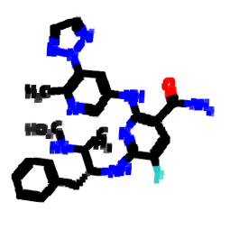 Cc1ncc(Nc2nc(N[C@H](Cc3ccccc3)[C@H](C)NC(=O)O)c(F)cc2C(N)=O)cc1-n1nccn1